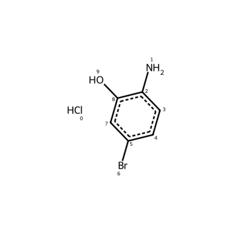 Cl.Nc1ccc(Br)cc1O